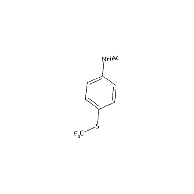 CC(=O)Nc1ccc(SC(F)(F)F)cc1